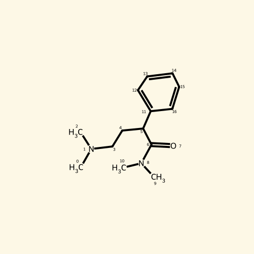 CN(C)CCC(C(=O)N(C)C)c1ccccc1